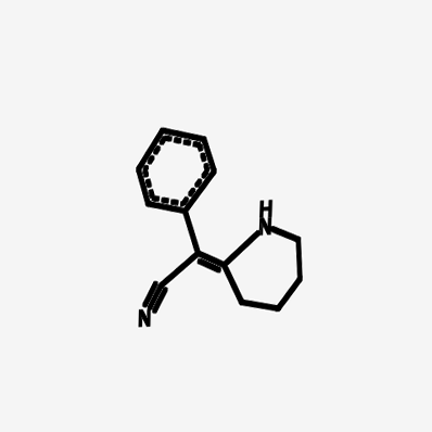 N#CC(=C1CCCCN1)c1ccccc1